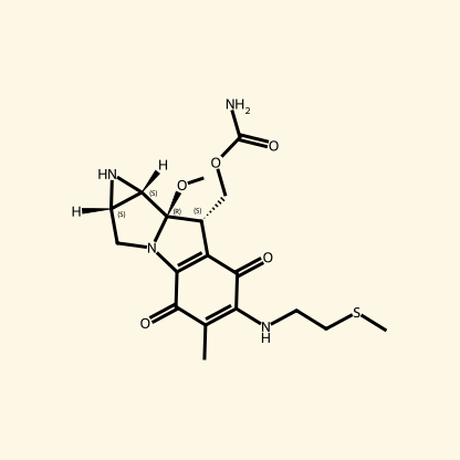 CO[C@@]12[C@H](COC(N)=O)C3=C(C(=O)C(C)=C(NCCSC)C3=O)N1C[C@@H]1N[C@@H]12